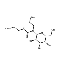 CCCCCCCCCCCCNC(=O)N(CCCCCCCCCCCC)[C@@H]1O[C@H](CO)[C@@H](O)[C@H](O)[C@H]1O